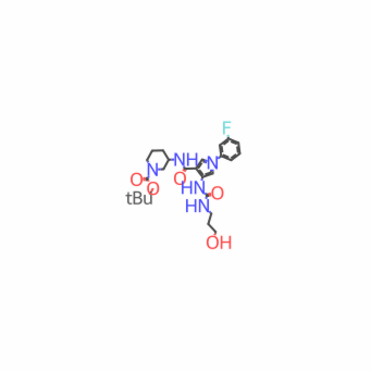 CC(C)(C)OC(=O)N1CCCC(NC(=O)c2cn(-c3cccc(F)c3)cc2NC(=O)NCCCO)C1